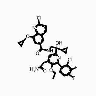 CCOc1c(CC(N)=O)cc([C@@](O)(CNC(=O)c2cc(OC3CC3)c3nc(Cl)ccc3c2)C2CC2)nc1-c1ccc(F)c(F)c1Cl